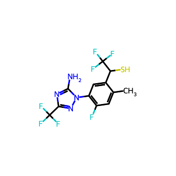 Cc1cc(F)c(-n2nc(C(F)(F)F)nc2N)cc1C(S)C(F)(F)F